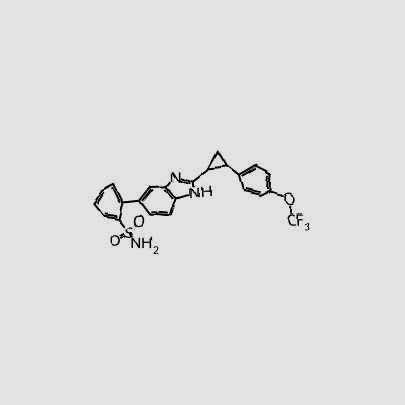 NS(=O)(=O)c1ccccc1-c1ccc2[nH]c(C3CC3c3ccc(OC(F)(F)F)cc3)nc2c1